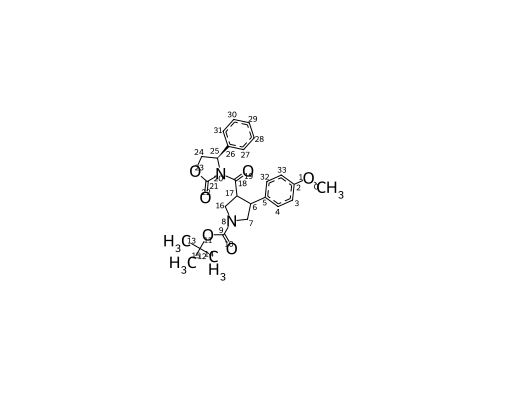 COc1ccc(C2CN(C(=O)OC(C)(C)C)CC2C(=O)N2C(=O)OC[C@H]2c2ccccc2)cc1